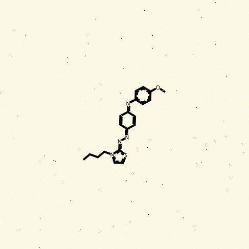 CCCCn1ccs/c1=N\N=C1C=CC(=Nc2ccc(OC)cc2)C=C1